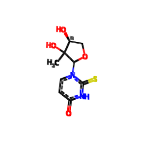 CC1(O)C(n2ccc(=O)[nH]c2=S)OC[C@@H]1O